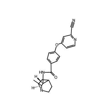 C[C@H]1[C@H](NC(=O)c2ccc(Oc3ccnc(C#N)c3)cc2)C2CCN1CC2